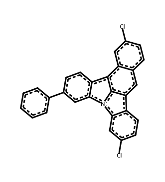 Clc1ccc2cc3c4ccc(Cl)cc4n4c5cc(-c6ccccc6)ccc5c(c2c1)c34